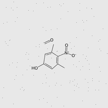 C=O.Cc1cc(O)cc(C)c1[N+](=O)[O-]